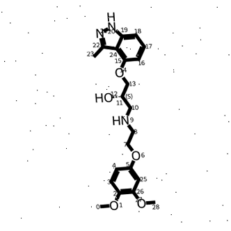 COc1ccc(OCCNC[C@H](O)COc2cccc3[nH]nc(C)c23)cc1OC